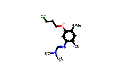 COc1cc(C#N)c(/N=C/N(C)C)cc1OCCCCl